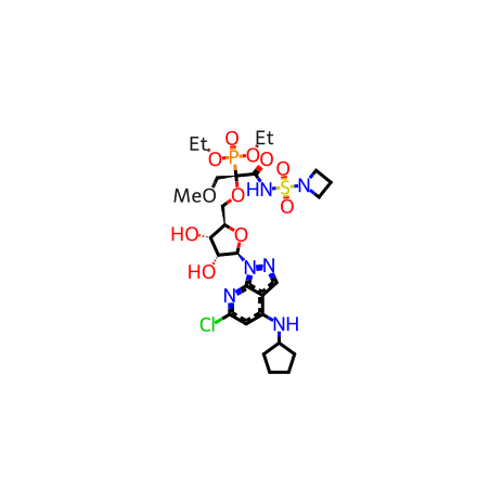 CCOP(=O)(OCC)[C@@](COC)(OC[C@H]1O[C@@H](n2ncc3c(NC4CCCC4)cc(Cl)nc32)[C@H](O)[C@@H]1O)C(=O)NS(=O)(=O)N1CCC1